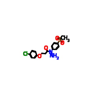 CS(=O)(=O)c1ccc(N(N)C(=O)CCOc2ccc(Cl)cc2)cc1